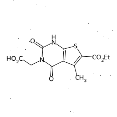 CCOC(=O)c1sc2[nH]c(=O)n(CC(=O)O)c(=O)c2c1C